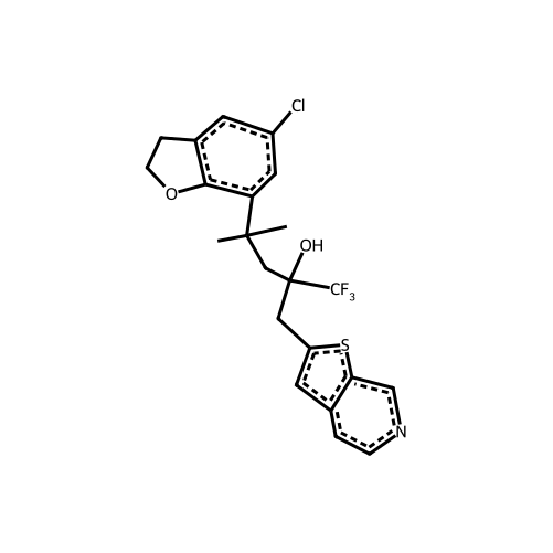 CC(C)(CC(O)(Cc1cc2ccncc2s1)C(F)(F)F)c1cc(Cl)cc2c1OCC2